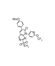 COc1ccc(-c2cc3cnc(S(C)(=O)=O)nc3n(-c3ccc(OC(F)(F)F)nc3)c2=O)cc1